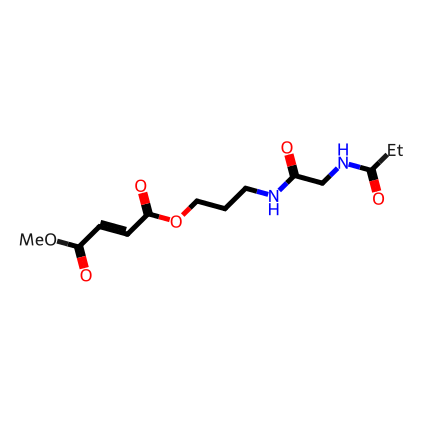 CCC(=O)NCC(=O)NCCCOC(=O)/C=C/C(=O)OC